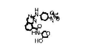 CN([C@H]1CC[C@H](Nc2ncc3cccc(C(=O)N[C@@H]4COC[C@H]4O)c3n2)CC1)S(C)(=O)=O